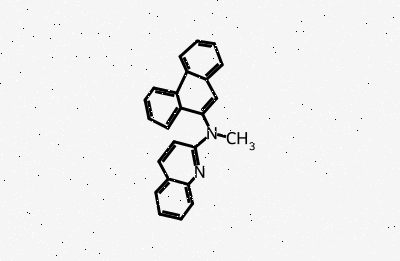 CN(c1ccc2ccccc2n1)c1cc2ccccc2c2ccccc12